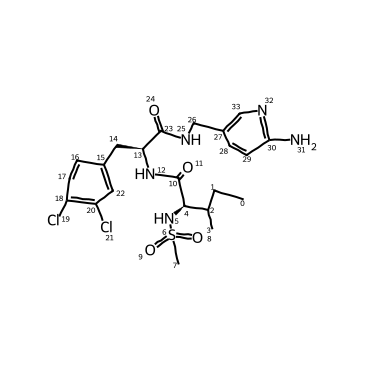 CCC(C)[C@@H](NS(C)(=O)=O)C(=O)N[C@@H](Cc1ccc(Cl)c(Cl)c1)C(=O)NCc1ccc(N)nc1